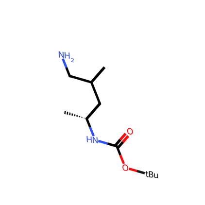 CC(CN)C[C@@H](C)NC(=O)OC(C)(C)C